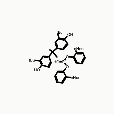 CC(C)(C)c1cc(C(C)(C)c2ccc(O)c(C(C)(C)C)c2)ccc1O.CCCCCCCCCc1ccccc1OP(O)Oc1ccccc1CCCCCCCCC